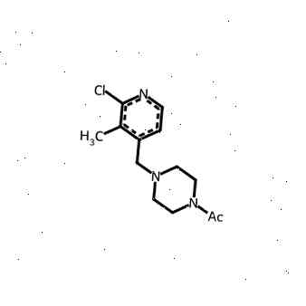 CC(=O)N1CCN(Cc2ccnc(Cl)c2C)CC1